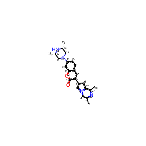 Cc1cn2cc(-c3cc4ccc(N5C[C@@H](C)N[C@@H](C)C5)cc4oc3=O)cc2c(C)n1